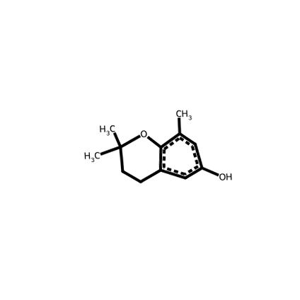 Cc1cc(O)cc2c1OC(C)(C)CC2